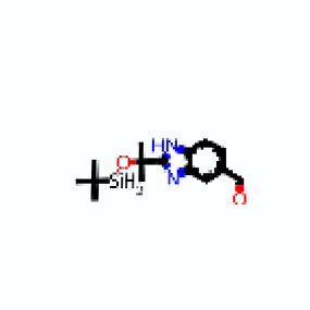 CC(C)(C)[SiH2]OC(C)(C)c1nc2cc(C=O)ccc2[nH]1